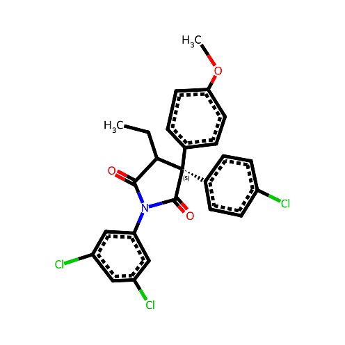 CCC1C(=O)N(c2cc(Cl)cc(Cl)c2)C(=O)[C@]1(c1ccc(Cl)cc1)c1ccc(OC)cc1